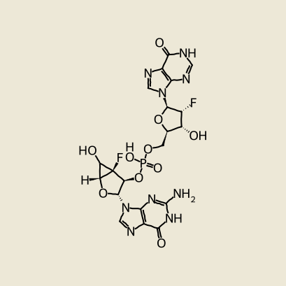 Nc1nc2c(ncn2[C@@H]2O[C@@H]3C(O)[C@]3(F)[C@H]2OP(=O)(O)OC[C@H]2O[C@@H](n3cnc4c(=O)[nH]cnc43)[C@H](F)[C@@H]2O)c(=O)[nH]1